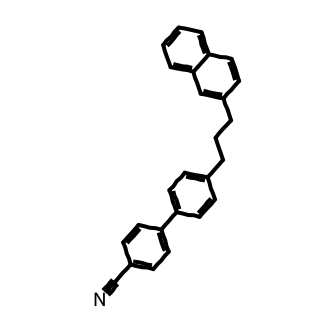 N#Cc1ccc(-c2ccc(CCCc3ccc4ccccc4c3)cc2)cc1